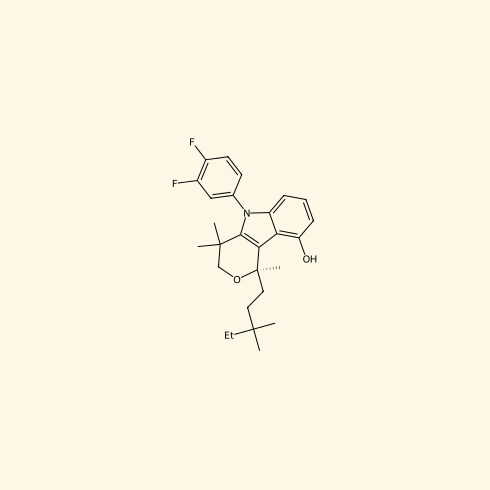 CCC(C)(C)CC[C@@]1(C)OCC(C)(C)c2c1c1c(O)cccc1n2-c1ccc(F)c(F)c1